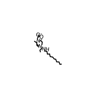 CCCCCCCCCCCCNC(CC)N1C#C/C(C)=[N+](/CC(=O)[O-])CCC1